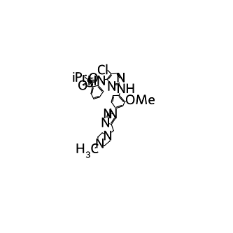 COc1cc(-n2cc(CN3CCN(C)CC3)nn2)ccc1Nc1ncc(Cl)c(Nc2ccccc2S(=O)(=O)C(C)C)n1